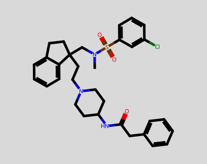 CN(CC1(CCN2CCC(NC(=O)Cc3ccccc3)CC2)CCc2ccccc21)S(=O)(=O)c1cccc(Cl)c1